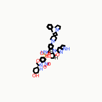 Cc1ccccc1[C@@H]1CCCN1C1CC2(CCN(c3ccc(C(=O)NS(=O)(=O)c4cc5c(c([N+](=O)[O-])c4)N[C@@H](C4CCC(O)CC4)CO5)c(N4c5cc6cc[nH]c6nc5O[C@@H]5CCOC[C@@H]54)c3)CC2)C1